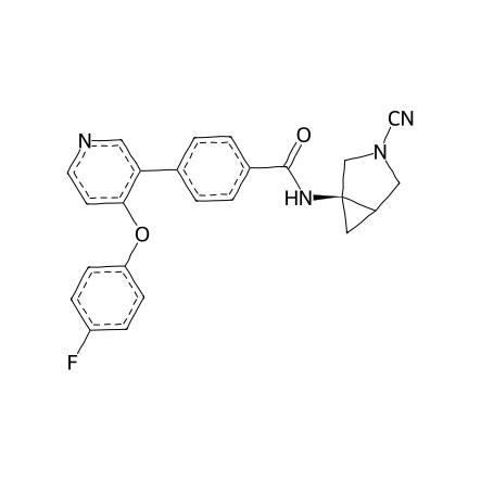 N#CN1CC2C[C@]2(NC(=O)c2ccc(-c3cnccc3Oc3ccc(F)cc3)cc2)C1